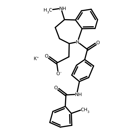 CNC1CCC(CC(=O)[O-])N(C(=O)c2ccc(NC(=O)c3ccccc3C)cc2)c2ccccc21.[K+]